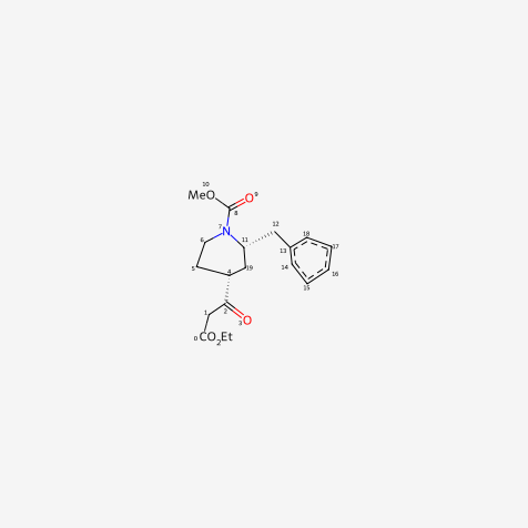 CCOC(=O)CC(=O)[C@@H]1CCN(C(=O)OC)[C@H](Cc2ccccc2)C1